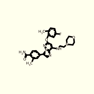 Cc1ccc(F)cc1Oc1cc(NCCN2CCOCC2)c2ncc(-c3ccc(C(N)=O)c(C)c3)n2n1